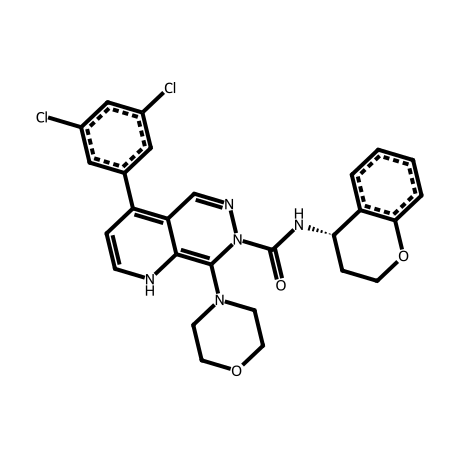 O=C(N[C@H]1CCOc2ccccc21)N1N=CC2=C(c3cc(Cl)cc(Cl)c3)C=CNC2=C1N1CCOCC1